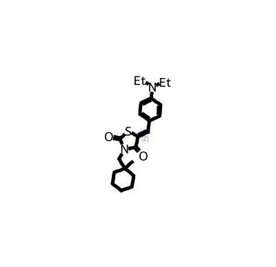 CCN(CC)c1ccc(/C=C2\SC(=O)N(CC3(C)CCCCC3)C2=O)cc1